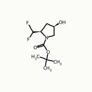 CC(C)(C)OC(=O)N1C[C@H](O)C[C@@H]1C(F)F